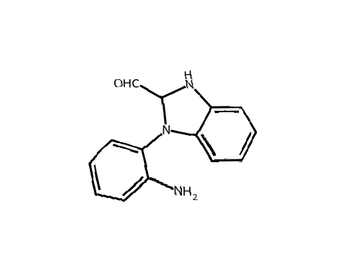 Nc1ccccc1N1c2ccccc2NC1C=O